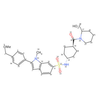 COCc1ccc(-c2cc3ccc(S(=O)(=O)N[C@H]4CC[C@H](C(=O)N5CCCCC5C(=O)O)CC4)cc3n2C)cc1